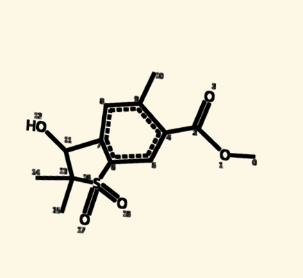 COC(=O)c1cc2c(cc1C)C(O)C(C)(C)S2(=O)=O